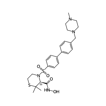 CN1CCN(Cc2ccc(-c3ccc(S(=O)(=O)N4CCSC(C)(C)[C@@H]4C(=O)NO)cc3)cc2)CC1